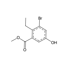 CCc1c(Br)cc(O)cc1C(=O)OC